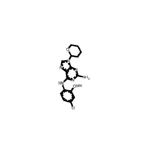 COc1cc(Cl)ccc1Nc1nc(N)nc2c1ncn2C1CCCCO1